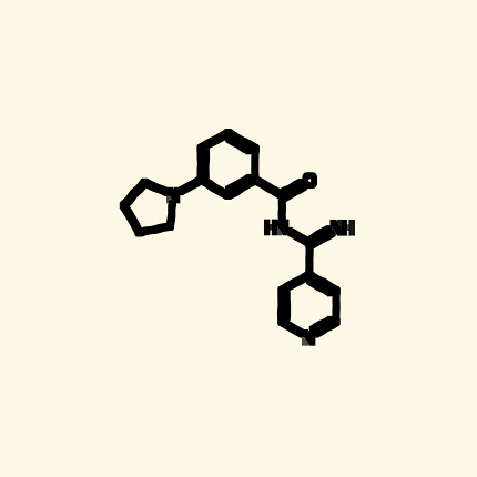 N=C(NC(=O)c1cccc(N2CCCC2)c1)c1ccncc1